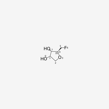 OC1CO[C@H](CF)C1O